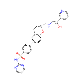 O=S(=O)(Nc1ncccn1)c1ccc(-c2ccc3c(c2)CC[C@H](CNC[C@H](O)c2cccnc2)O3)cc1